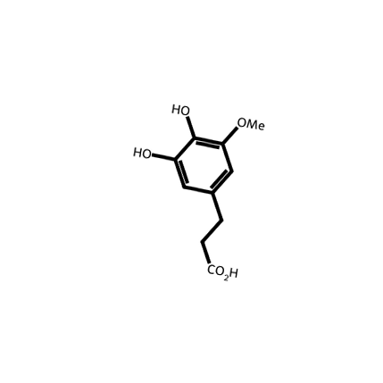 COc1cc(CCC(=O)O)cc(O)c1O